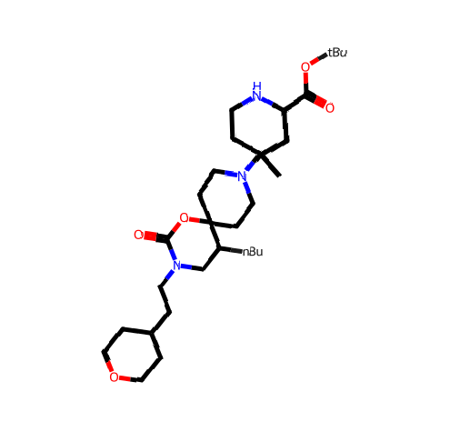 CCCCC1CN(CCC2CCOCC2)C(=O)OC12CCN(C1(C)CCNC(C(=O)OC(C)(C)C)C1)CC2